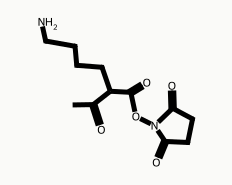 CC(=O)C(CCCCN)C(=O)ON1C(=O)CCC1=O